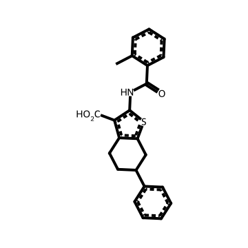 Cc1ccccc1C(=O)Nc1sc2c(c1C(=O)O)CCC(c1ccccc1)C2